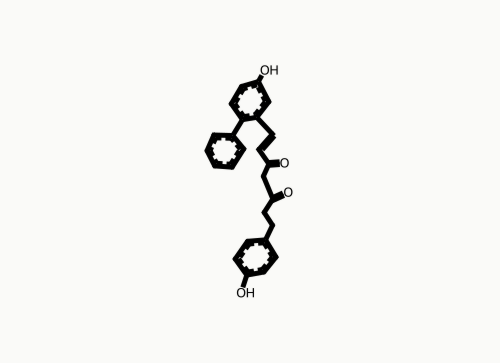 O=C(C=Cc1cc(O)ccc1-c1ccccc1)CC(=O)CCc1ccc(O)cc1